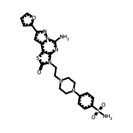 Nc1nc2c(sc(=O)n2CCN2CCN(c3ccc(S(N)(=O)=O)cc3)CC2)c2cc(-c3ccco3)nn12